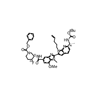 C=CCCCn1c(-c2nc3cc(C(=O)N[C@H]4CN(C(=O)OCc5ccccc5)CC[C@@H]4F)cc(OC)c3n2C)cc2ccc([C@@H](C)NC(=O)OC(C)(C)C)nc21